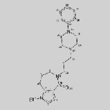 CCn1ccc2c1CCCN(CCCN1CCN(c3ccccc3)CC1)C2=O